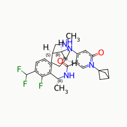 C[C@@H](NC(=O)c1cn(C23CC(C2)C3)c(=O)cc1N[C@H]1[C@@H]2CC[C@H]1CN(C)C2)c1cccc(C(F)F)c1F